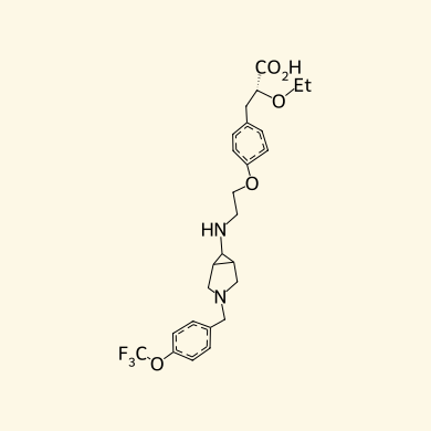 CCO[C@H](Cc1ccc(OCCNC2C3CN(Cc4ccc(OC(F)(F)F)cc4)CC32)cc1)C(=O)O